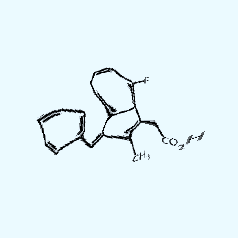 CC1=C(CC(=O)O)c2c(F)cccc2C1=Cc1ccccc1